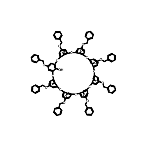 Oc1c2cc(OCc3ccccc3)cc1Cc1cc(OCc3ccccc3)cc(c1O)Cc1cc(OCc3ccccc3)cc(c1O)Cc1cc(OCc3ccccc3)cc(c1O)Cc1cc(OCc3ccccc3)cc(c1O)Cc1cc(OCc3ccccc3)cc(c1O)Cc1cc(OCc3ccccc3)cc(c1O)Cc1cc(OCc3ccccc3)cc(c1O)C2